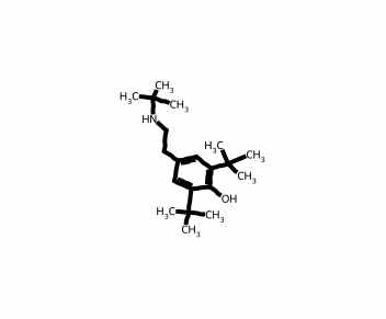 CC(C)(C)NCCc1cc(C(C)(C)C)c(O)c(C(C)(C)C)c1